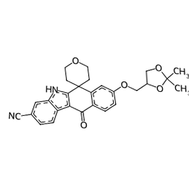 CC1(C)OCC(COc2ccc3c(c2)C2(CCOCC2)c2[nH]c4cc(C#N)ccc4c2C3=O)O1